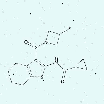 O=C(Nc1sc2c(c1C(=O)N1CC(F)C1)CCCC2)C1CC1